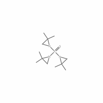 CC1(C)CN1P(=S)(N1CC1(C)C)N1CC1(C)C